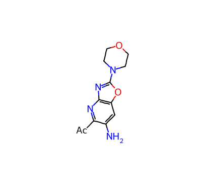 CC(=O)c1nc2nc(N3CCOCC3)oc2cc1N